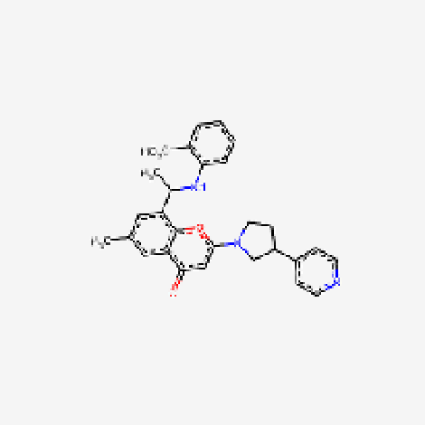 Cc1cc(C(C)Nc2ccccc2C(=O)O)c2oc(N3CCC(c4ccncc4)C3)cc(=O)c2c1